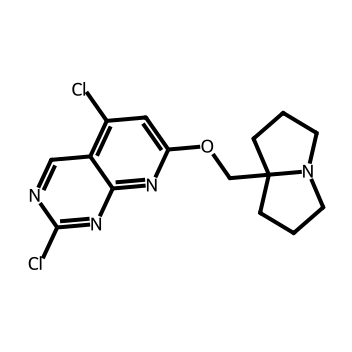 Clc1ncc2c(Cl)cc(OCC34CCCN3CCC4)nc2n1